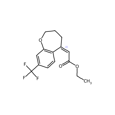 CCOC(=O)/C=C1/CCCOc2cc(C(F)(F)F)ccc21